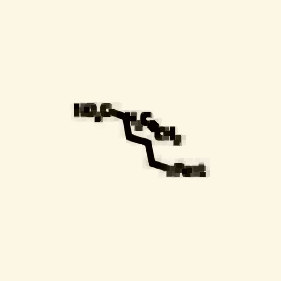 C=C.CCCCCCCCCC(=O)O